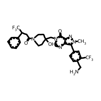 Cn1nc2c(=O)n(CC3(O)CCN(C(=O)CC(c4ccccc4)C(F)(F)F)CC3)cnc2c1-c1ccc(CN)c(C(F)(F)F)c1